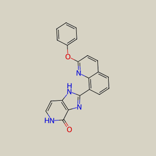 O=c1[nH]ccc2[nH]c(-c3cccc4ccc(Oc5ccccc5)nc34)nc12